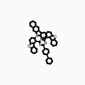 c1ccc(-c2ccc(-c3nc(-c4cccc5oc6ccccc6c45)nc(-c4c(-n5c6ccccc6c6cc7ccccc7cc65)ccc5oc6ccccc6c45)n3)cc2)cc1